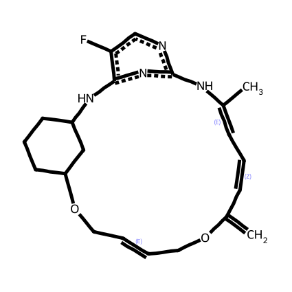 C=C1/C=C\C=C(/C)Nc2ncc(F)c(n2)NC2CCCC(C2)OC/C=C/CO1